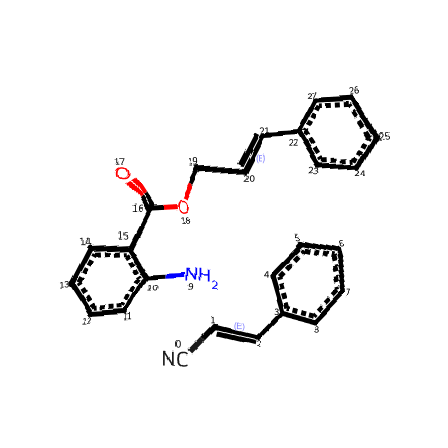 N#C/C=C/c1ccccc1.Nc1ccccc1C(=O)OC/C=C/c1ccccc1